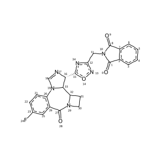 O=C1c2ccccc2C(=O)N1Cc1noc([C@H]2N=CN3c4ccc(F)cc4C(=O)N4CCC4C23)n1